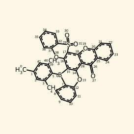 Cc1cc(C)c(B2c3ccccc3Oc3c2c2c(c4oc5ccccc5c(=O)c34)S(=O)(=O)c3ccccc3O2)c(C)c1